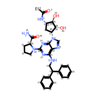 CCC(=O)N[C@H]1C[C@@H](n2cnc3c(NCC(c4ccccc4)c4ccccc4)nc(N4CC[CH][C@H]4C(N)=O)nc32)[C@@H](O)[C@@H]1O